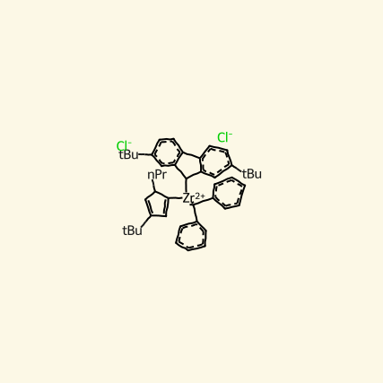 CCCC1C=C(C(C)(C)C)C=[C]1[Zr+2](=[C](c1ccccc1)c1ccccc1)[CH]1c2cc(C(C)(C)C)ccc2-c2ccc(C(C)(C)C)cc21.[Cl-].[Cl-]